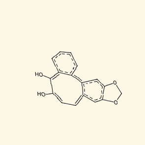 OC1=CC=c2cc3c(cc2=c2ccccc2=C1O)OCO3